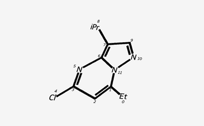 CCc1cc(Cl)nc2c(C(C)C)cnn12